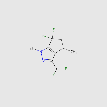 CCn1nc(C(F)F)c2c1C(F)(F)CC2C